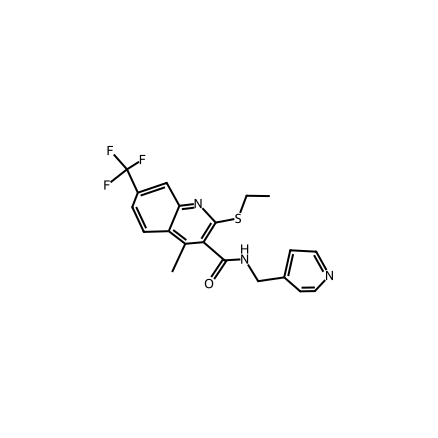 CCSc1nc2cc(C(F)(F)F)ccc2c(C)c1C(=O)NCc1ccncc1